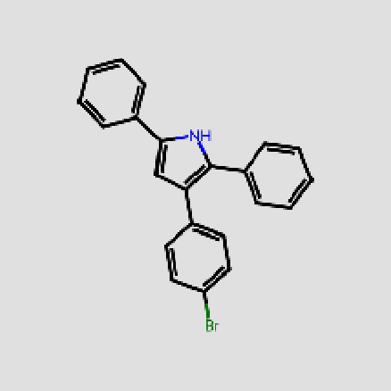 Brc1ccc(-c2cc(-c3ccccc3)[nH]c2-c2ccccc2)cc1